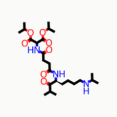 CC(C)NCCCC[C@H](NC(=O)CCC(=O)NC(C(=O)OC(C)C)C(=O)OC(C)C)C(=O)C(C)C